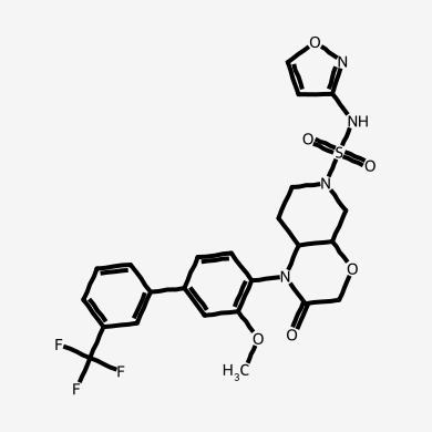 COc1cc(-c2cccc(C(F)(F)F)c2)ccc1N1C(=O)COC2CN(S(=O)(=O)Nc3ccon3)CCC21